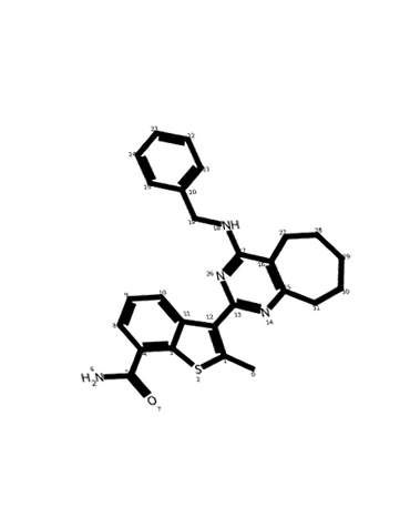 Cc1sc2c(C(N)=O)cccc2c1-c1nc2c(c(NCc3ccccc3)n1)CCCCC2